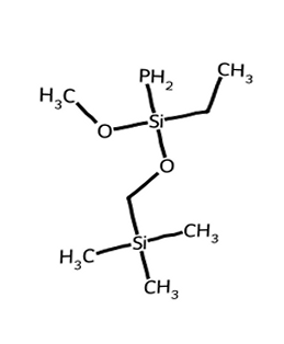 CC[Si](P)(OC)OC[Si](C)(C)C